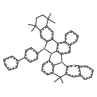 CC1(C)CCC(C)(C)c2cc3c(cc21)-c1c2c(cc4ccccc14)N1c4cc5ccccc5cc4C(C)(C)c4cccc(c41)B2N3c1ccc(-c2ccccc2)cc1